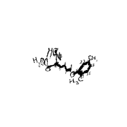 COC(=O)C(CCCCOc1cc(C)ccc1C)=NO